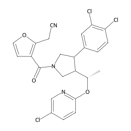 C[C@H](Oc1ccc(Cl)cn1)C1CN(C(=O)c2ccoc2CC#N)CC1c1ccc(Cl)c(Cl)c1